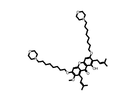 COc1c(OCCCCCCCCN2CCOCC2)cc2oc3cc(OCCCCCCCCN4CCOCC4)c(CC=C(C)C)c(O)c3c(=O)c2c1CC=C(C)C